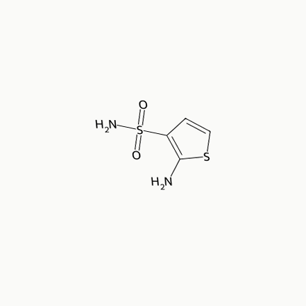 Nc1sccc1S(N)(=O)=O